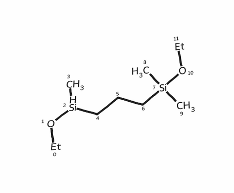 CCO[SiH](C)CCC[Si](C)(C)OCC